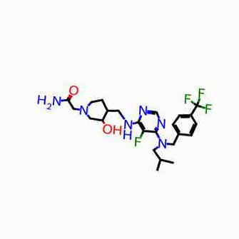 CC(C)CN(Cc1ccc(C(F)(F)F)cc1)c1ncnc(NCC2CCN(CC(N)=O)CC2O)c1F